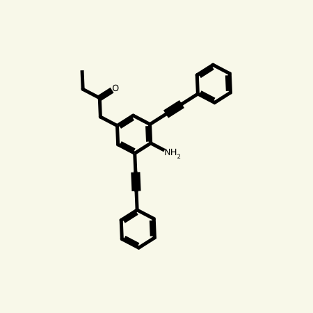 CCC(=O)Cc1cc(C#Cc2ccccc2)c(N)c(C#Cc2ccccc2)c1